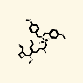 CC/C=C(\CC[C@H](C)CS(=O)(=O)N(Cc1ccc(OC)cc1)Cc1ccc(OC)cc1)[C@H](OC)[C@@H]1CCC1C=O